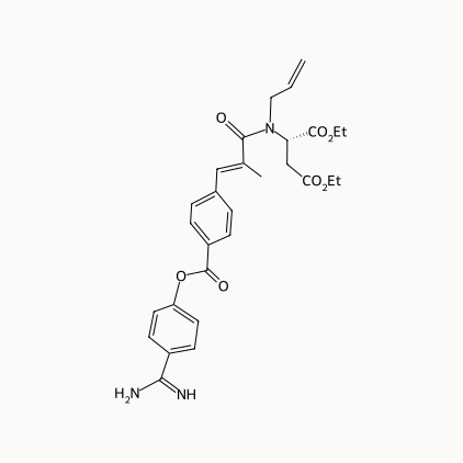 C=CCN(C(=O)/C(C)=C/c1ccc(C(=O)Oc2ccc(C(=N)N)cc2)cc1)[C@@H](CC(=O)OCC)C(=O)OCC